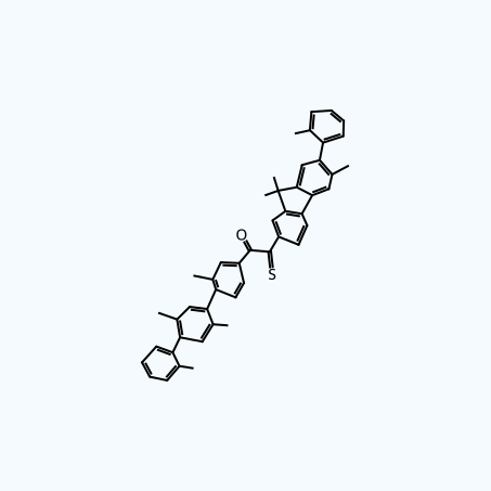 Cc1ccccc1-c1cc(C)c(-c2ccc(C(=O)C(=S)c3ccc4c(c3)C(C)(C)c3cc(-c5ccccc5C)c(C)cc3-4)cc2C)cc1C